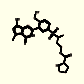 CCCOc1ccc(S(=O)(=O)N(C)CCOC(=O)C2CCCN2)cc1-c1nc2c(CCC)nn(C)c2c(=O)[nH]1